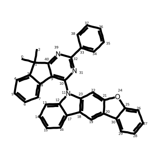 CC1(C)c2ccccc2-c2c(-n3c4ccccc4c4cc5c(cc43)oc3ccccc35)nc(-c3ccccc3)nc21